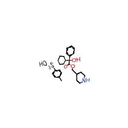 Cc1ccc(S(=O)(=O)O)cc1.O=C(OCC1CCNCC1)C(O)(c1ccccc1)C1CCCCC1